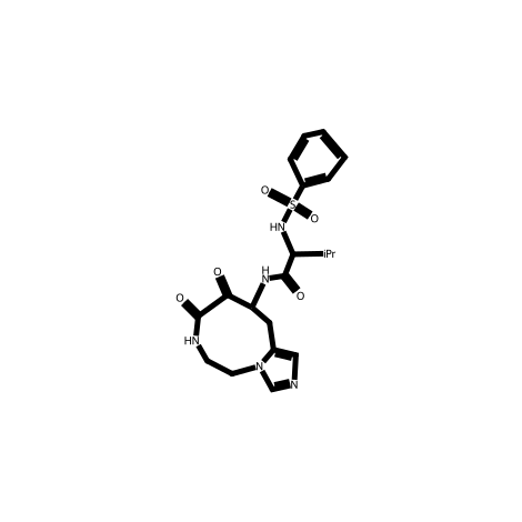 CC(C)C(NS(=O)(=O)c1ccccc1)C(=O)NC1Cc2cncn2CCNC(=O)C1=O